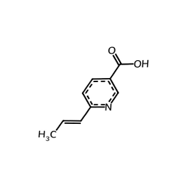 CC=Cc1ccc(C(=O)O)cn1